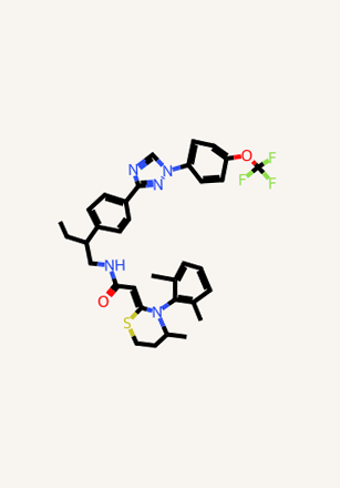 CCC(CNC(=O)/C=C1\SCCC(C)N1c1c(C)cccc1C)c1ccc(-c2ncn(-c3ccc(OC(F)(F)F)cc3)n2)cc1